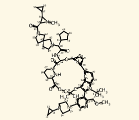 CCn1c(-c2cc(N3CCN(C4CC4)CC3)cnc2[C@H](C)OC)c2c3cc(ccc31)-c1csc(n1)C[C@H](NC(=O)[C@H](C1CCCC1)N1CC[C@]3(CCN(C(=O)[C@H]4[C@@H](C5CC5)N4C)C3)C1)C(=O)N1CCC[C@H](N1)C(=O)OCC(C)(C)C2